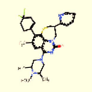 CC1CN(c2nc(=O)n3c4c(c(C5=CCC(F)(F)CC5)c(C(F)(F)F)cc24)SCC(c2ccccn2)C3)CC(C)N1C(=O)O